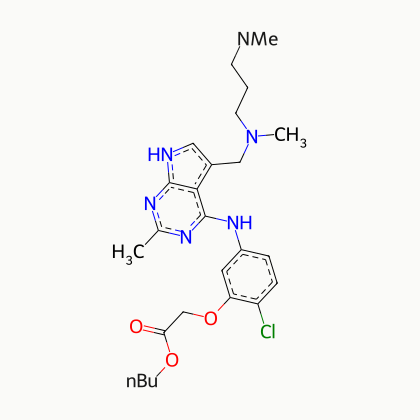 CCCCOC(=O)COc1cc(Nc2nc(C)nc3[nH]cc(CN(C)CCCNC)c23)ccc1Cl